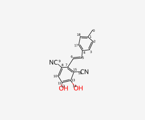 Cc1ccc(/C=C/c2c(C#N)cc(O)c(O)c2C#N)cc1